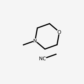 CC#N.CN1CCOCC1